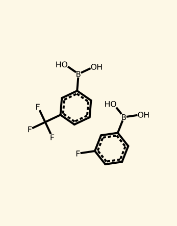 OB(O)c1cccc(C(F)(F)F)c1.OB(O)c1cccc(F)c1